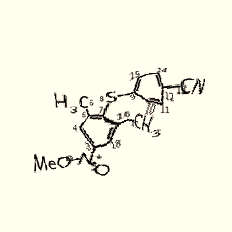 CO[N+](=O)c1cc(C)c(Sc2ccc(C#N)cc2)c(C)c1